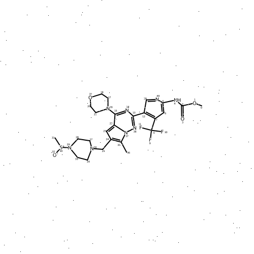 COC(=O)Nc1cc(C(F)(F)F)c(-c2nc(N3CCOCC3)c3cc(CN4CCN([S+](C)[O-])CC4)c(C)n3n2)cn1